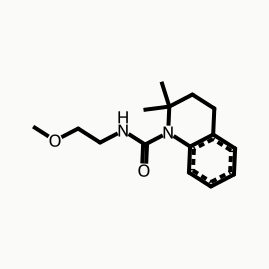 COCCNC(=O)N1c2ccccc2CCC1(C)C